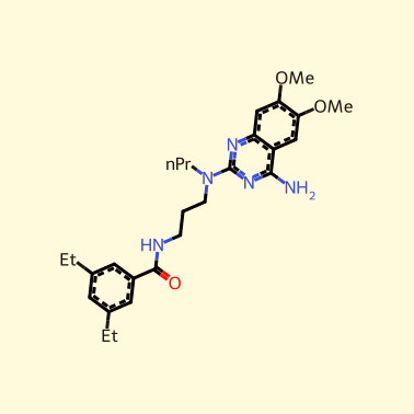 CCCN(CCCNC(=O)c1cc(CC)cc(CC)c1)c1nc(N)c2cc(OC)c(OC)cc2n1